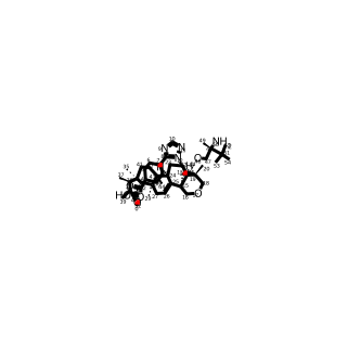 COC(=O)C1CCC(c2ncnn2[C@@H]2C[C@@]34COC[C@](C)([C@@H]3CC[C@H]3C4=CC[C@@]4(C)[C@H](C(=O)O)[C@@](C)([C@H](C)C(C)C)CC[C@]34C)[C@H]2OC[C@](C)(N)C(C)(C)C)CC1